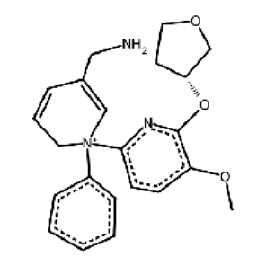 COc1ccc([N+]2(c3ccccc3)C=C(CN)C=CC2)nc1O[C@@H]1CCOC1